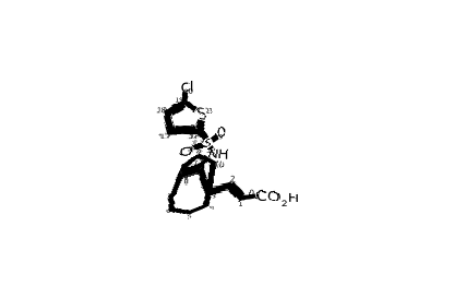 O=C(O)/C=C/C12CCCCC(CC1)C2NS(=O)(=O)c1ccc(Cl)s1